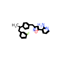 CC(Cc1cccc(F)c1)c1ccc(Cc2cc(-c3cccnc3N)on2)cc1